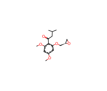 COc1cc(OC)c(C(=O)CC(C)C)c(OC[C@H]2CO2)c1